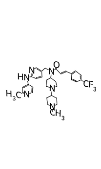 Cc1cc(Nc2ccc(CN(C(=O)C=Cc3ccc(C(F)(F)F)cc3)C3CCN(C4CCN(C)CC4)CC3)cn2)ccn1